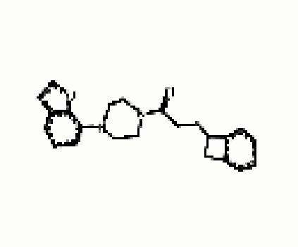 O=C(CCC1Cc2ccccc21)N1CCN(c2cccc3ccoc23)CC1